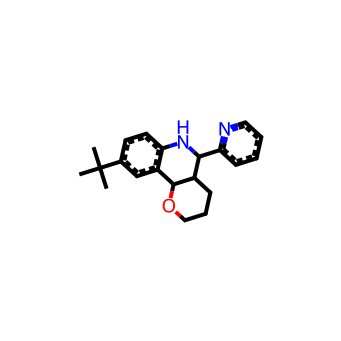 CC(C)(C)c1ccc2c(c1)C1OCCCC1C(c1ccccn1)N2